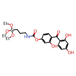 CCO[Si](CCCNC(=O)Oc1ccc(C(=O)c2ccc(O)cc2O)c(O)c1)(OCC)OCC